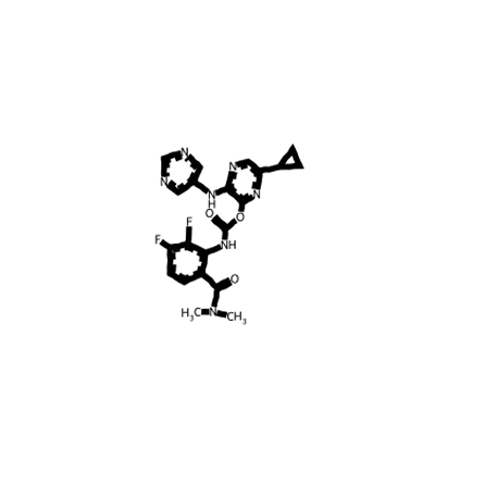 CN(C)C(=O)c1ccc(F)c(F)c1NC(=O)Oc1nc(C2CC2)cnc1Nc1cncnc1